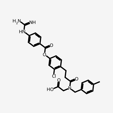 Cc1ccc(CN(CC(=O)O)C(=O)CCc2ccc(OC(=O)c3ccc(NC(=N)N)cc3)cc2Cl)cc1